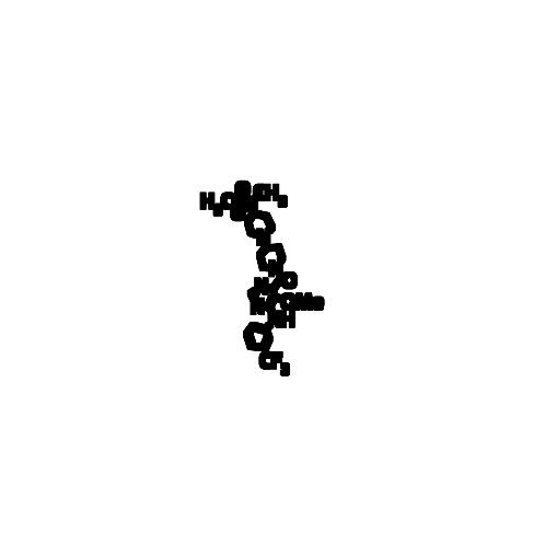 COc1c(Nc2cccc(C(F)(F)F)c2)ncnc1C(=O)N1CCC(N2CCC(N(C)S(C)(=O)=O)CC2)CC1